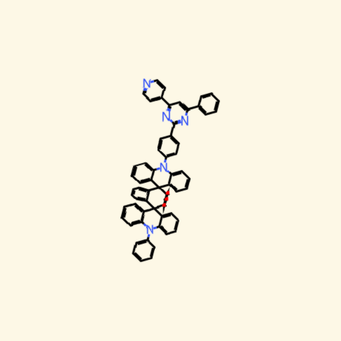 c1ccc(-c2cc(-c3ccncc3)nc(-c3ccc(N4c5ccccc5C5(c6ccccc64)c4ccccc4C4(c6ccccc6N(c6ccccc6)c6ccccc64)c4ccccc45)cc3)n2)cc1